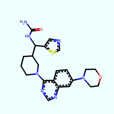 NC(=O)NC(c1cncs1)C1CCCN(c2ncnc3cc(N4CCOCC4)ccc23)C1